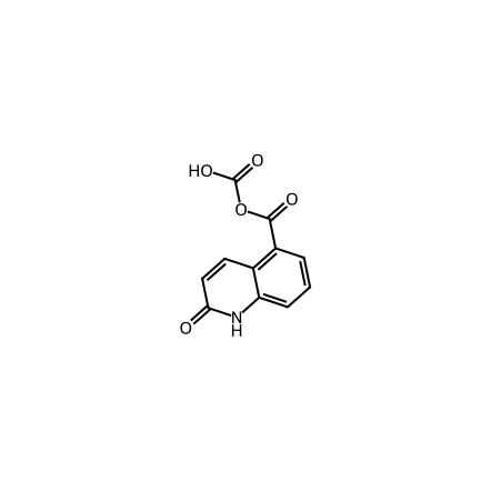 O=C(O)OC(=O)c1cccc2[nH]c(=O)ccc12